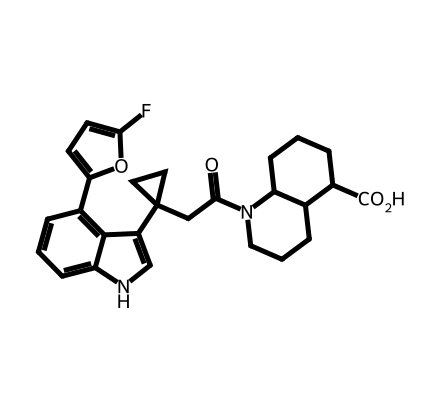 O=C(O)C1CCCC2C1CCCN2C(=O)CC1(c2c[nH]c3cccc(-c4ccc(F)o4)c23)CC1